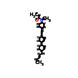 C=CC(=O)N(C)c1ccc(C#Cc2ccc(C3CCC(CCCCC)CC3)cc2)cc1